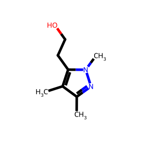 Cc1nn(C)c(CCO)c1C